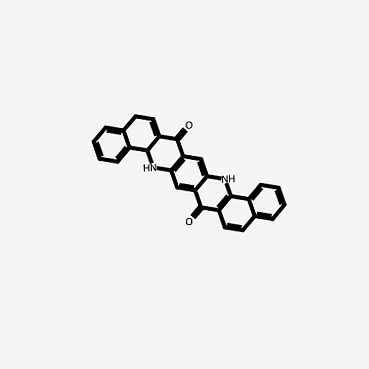 O=C1C2=CCc3ccccc3C2Nc2cc3c(=O)c4ccc5ccccc5c4[nH]c3cc21